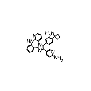 Nc1ccc(-c2nc3n(c2-c2ccc(C4(N)CCC4)cc2)-c2cccnc2Nc2ccccc2-3)cn1